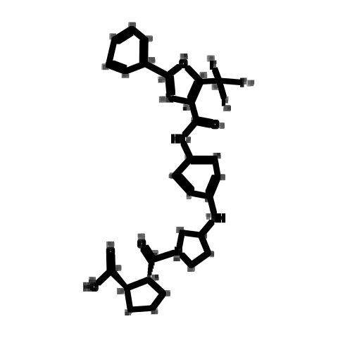 O=C(Nc1ccc(NC2CCN(C(=O)[C@@H]3CCC[C@H]3C(=O)O)C2)cc1)c1nc(-c2ccccc2)oc1C(F)(F)F